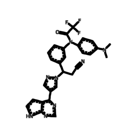 CN(C)c1ccc(N(C(=O)C(F)(F)F)c2cccc(C(CC#N)n3cc(-c4ncnc5[nH]ccc45)cn3)c2)cc1